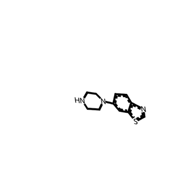 c1nc2ccc(N3CCNCC3)cc2s1